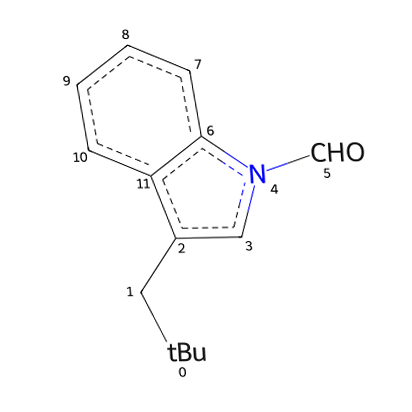 CC(C)(C)Cc1cn(C=O)c2ccccc12